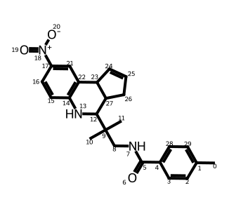 Cc1ccc(C(=O)NCC(C)(C)C2Nc3ccc([N+](=O)[O-])cc3C3C=CCC32)cc1